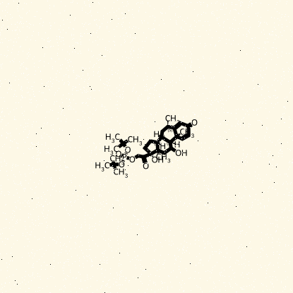 C[C@H]1C[C@@H]2[C@H](C(O)C[C@@]3(C)[C@H]2CC[C@]3(O)C(=O)COP(=O)(OC(C)(C)C)OC(C)(C)C)[C@@]2(C)C=CC(=O)C=C12